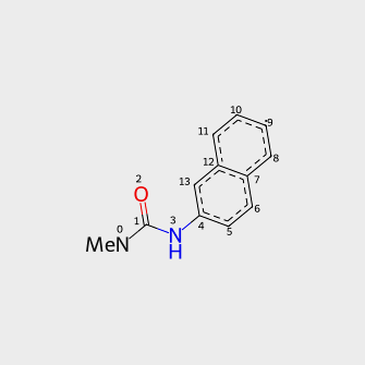 CNC(=O)Nc1ccc2c[c]ccc2c1